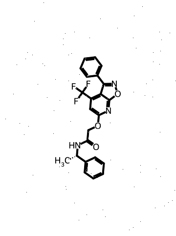 C[C@H](NC(=O)COc1cc(C(F)(F)F)c2c(-c3ccccc3)noc2n1)c1ccccc1